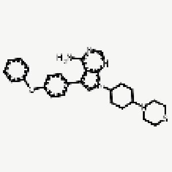 Nc1ncnc2c1c(-c1ccc(Oc3ccccc3)cc1)cn2C1CCC(N2CCSCC2)CC1